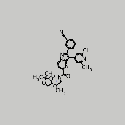 Cc1cc(-c2c(-c3cccc(C#N)c3)nn3ccc(C(=O)/N=C/C(C)[C@H]4COC(C)(C)O4)nc23)cc(Cl)n1